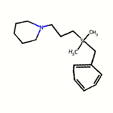 C[Si](C)(CCCN1CCCCC1)Cc1ccccc1